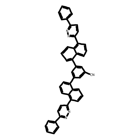 N#Cc1cc(-c2cccc3c(-c4ccc(-c5ccccc5)nn4)cccc23)cc(-c2cccc3c(-c4ccc(-c5ccccc5)nn4)cccc23)c1